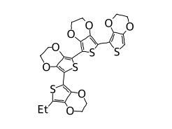 CCc1sc(-c2sc(-c3sc(-c4scc5c4OCCO5)c4c3OCCO4)c3c2OCCO3)c2c1OCCO2